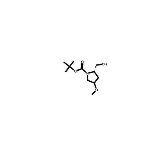 COC1C[C@@H](CO)N(C(=O)OC(C)(C)C)C1